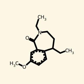 CCC1CCN(CC)C(=O)c2cc(OC)ccc21